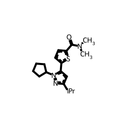 CC(C)c1cc(-c2ccc(C(=O)N(C)C)s2)n(C2CCCC2)n1